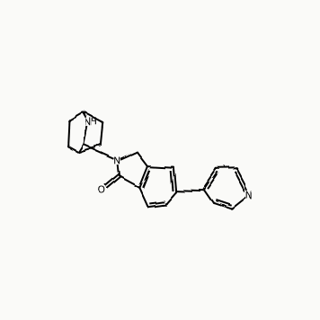 O=C1c2ccc(-c3ccncc3)cc2CN1C1NC2CCC1CC2